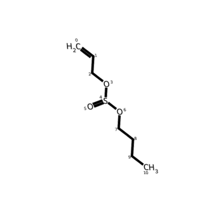 C=CCOS(=O)OCCCC